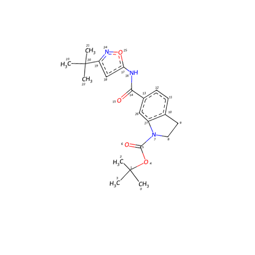 CC(C)(C)OC(=O)N1CCc2ccc(C(=O)Nc3cc(C(C)(C)C)no3)cc21